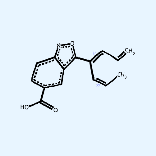 C=C/C=C(\C=C/C)c1onc2ccc(C(=O)O)cc12